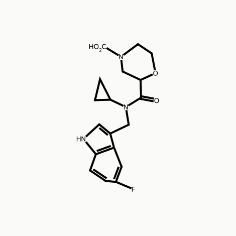 O=C(O)N1CCOC(C(=O)N(Cc2c[nH]c3ccc(F)cc23)C2CC2)C1